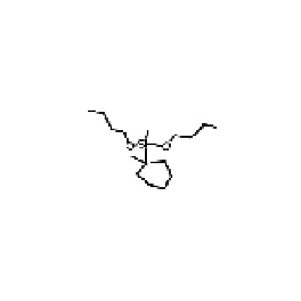 CCCCO[Si](C)(OCCCC)C1(C)CCCCC1